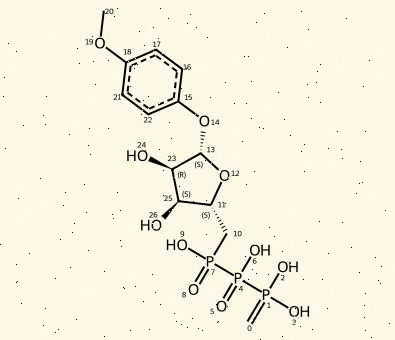 C=P(O)(O)P(=O)(O)P(=O)(O)C[C@H]1O[C@@H](Oc2ccc(OC)cc2)[C@H](O)[C@@H]1O